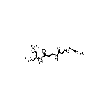 C#CCOCCC(=O)NCCC(=O)NC(CC)COC